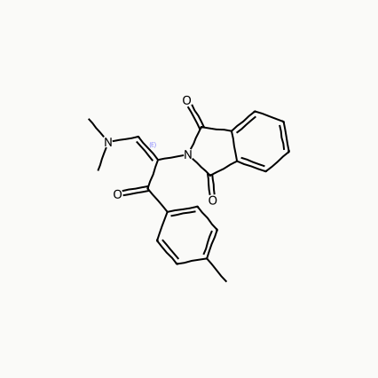 Cc1ccc(C(=O)/C(=C\N(C)C)N2C(=O)c3ccccc3C2=O)cc1